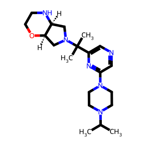 CC(C)N1CCN(c2cncc(C(C)(C)N3C[C@@H]4NCCO[C@@H]4C3)n2)CC1